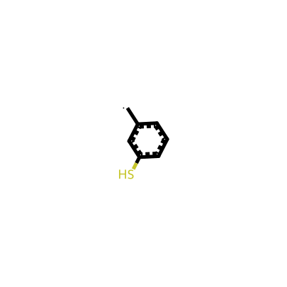 [CH2]c1cccc(S)c1